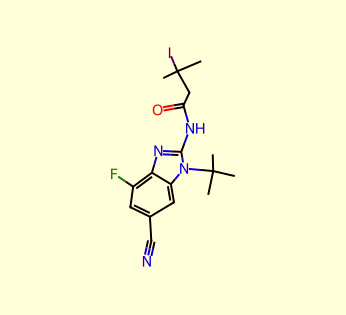 CC(C)(I)CC(=O)Nc1nc2c(F)cc(C#N)cc2n1C(C)(C)C